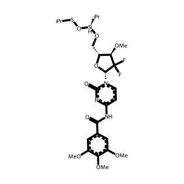 COc1cc(C(=O)Nc2ccn([C@@H]3O[C@H](CO[Si@@H](OSC(C)C)C(C)C)[C@@H](OC)C3(F)F)c(=O)n2)cc(OC)c1OC